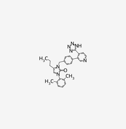 CCCc1cn(-c2c(C)cccc2C)c(=O)n1Cc1ccc(-c2cnccc2-c2nnn[nH]2)cc1